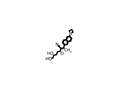 C/C(=C(/C#N)C(=O)CCC(O)CO)c1ccc2cc(N3CCC3)ccc2c1